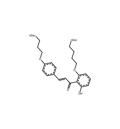 CCCCCCCCCCCCCCOc1cccc(O)c1C(=O)C=Cc1ccc(OCCCCCCCCCCCCC)cc1